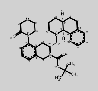 CC(C)(C)OC(=O)N1Cc2cccc(N3CCOCC3=O)c2C[C@@H]1CN1CCC[C@H]2CCc3cccnc3[C@H]21